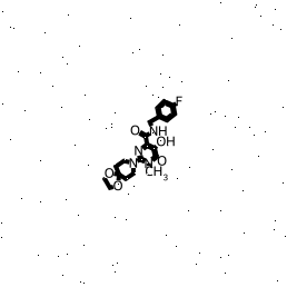 Cn1c(N2CCC3(CC2)OCCO3)nc(C(=O)NCc2ccc(F)cc2)c(O)c1=O